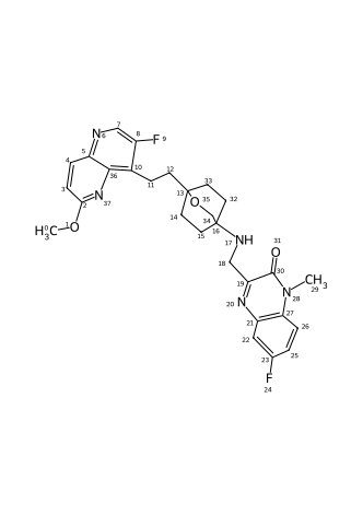 COc1ccc2ncc(F)c(CCC34CCC(NCc5nc6cc(F)ccc6n(C)c5=O)(CC3)CO4)c2n1